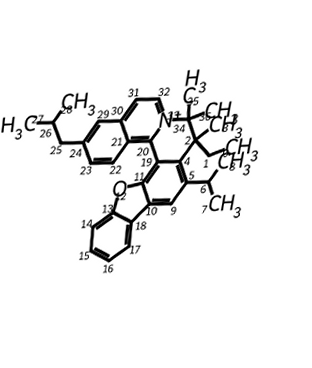 CCC1(C)c2c(C(C)C)cc3c(oc4ccccc43)c2-c2c3ccc(CC(C)C)cc3cc[n+]2C1(C)C